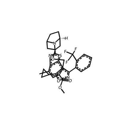 COC(=O)c1cc(C)c2nc(N3C4CC[C@H]3CC(OCc3c(-c5ccccc5C(F)(F)F)noc3C3CC3)C4)sc2c1